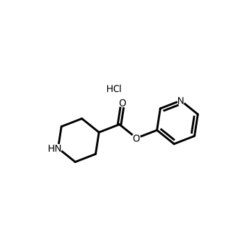 Cl.O=C(Oc1cccnc1)C1CCNCC1